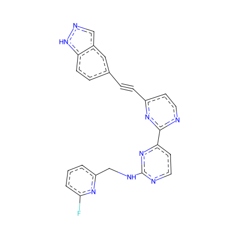 Fc1cccc(CNc2nccc(-c3nccc(C#Cc4ccc5[nH]ncc5c4)n3)n2)n1